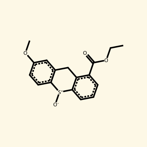 CCOC(=O)c1cccc2c1Cc1cc(OC)ccc1[S+]2[O-]